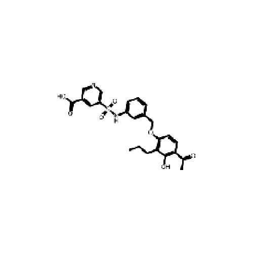 CCCc1c(OCc2cccc(NS(=O)(=O)c3cncc(C(=O)O)c3)c2)ccc(C(C)=O)c1O